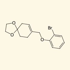 Brc1ccccc1OCC1=CCC2(CC1)OCCO2